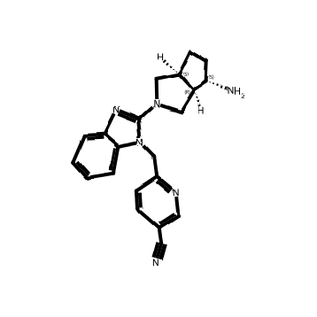 N#Cc1ccc(Cn2c(N3C[C@H]4CC[C@H](N)[C@H]4C3)nc3ccccc32)nc1